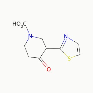 O=C1CCN(C(=O)O)CC1c1nccs1